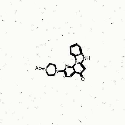 CC(=O)N1CCN(c2ccc3c(=O)cc4[nH]c5ccccc5n4c3n2)CC1